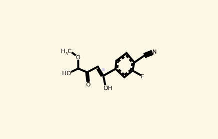 COC(O)C(=O)/C=C(\O)c1ccc(C#N)c(F)c1